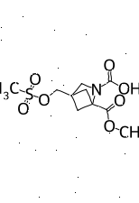 COC(=O)C12CC(COS(C)(=O)=O)(CN1C(=O)O)C2